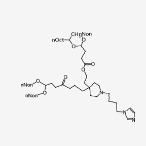 CCCCCCCCCOC(CCC(=O)CCCC1(CCOC(=O)CCC(OCCCCCCCCC)OC(C)CCCCCCCC)CCN(CCCCn2ccnc2)CC1)OCCCCCCCCC